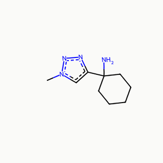 Cn1cc(C2(N)CCCCC2)nn1